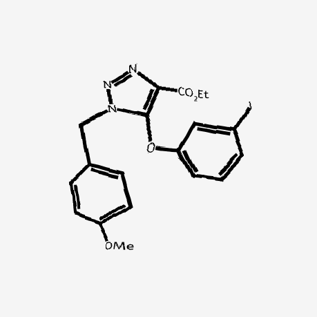 CCOC(=O)c1nnn(Cc2ccc(OC)cc2)c1Oc1cccc(I)c1